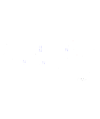 COc1ccc(-c2ccccc2S(=O)(=O)N2CCc3c(ccnc3Nc3cnc4ccccc4c3)C2)cc1